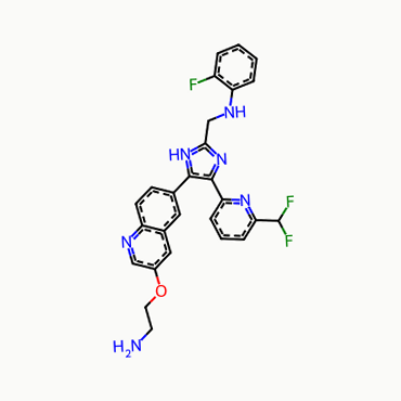 NCCOc1cnc2ccc(-c3[nH]c(CNc4ccccc4F)nc3-c3cccc(C(F)F)n3)cc2c1